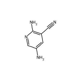 N#Cc1cc(N)cnc1N